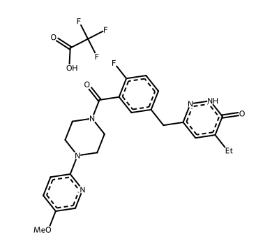 CCc1cc(Cc2ccc(F)c(C(=O)N3CCN(c4ccc(OC)cn4)CC3)c2)n[nH]c1=O.O=C(O)C(F)(F)F